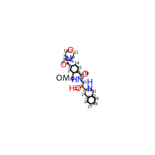 COc1cc(C(=O)N2C3CCC2COC3)ccc1C(=O)NC[C@@H](O)[C@@H]1Cc2ccccc2CN1